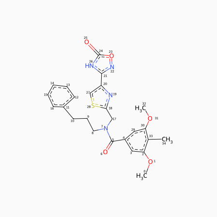 COc1cc(C(=O)N(CCCc2ccccc2)Cc2nc(-c3noc(=O)[nH]3)cs2)cc(OC)c1C